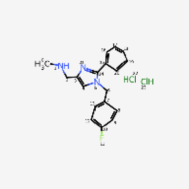 CNCc1cn(Cc2ccc(F)cc2)c(-c2ccccc2)n1.Cl.Cl